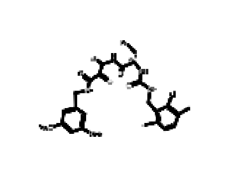 CCC(NC(=O)[C@H](CC(C)C)NC(=O)NCc1c(F)ccc(C)c1Cl)C(=O)C(=O)NCc1cc(OC)cc(OC)c1